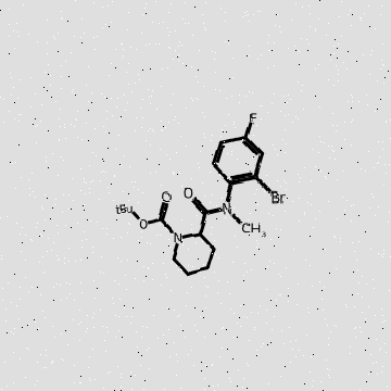 CN(C(=O)C1CCCCN1C(=O)OC(C)(C)C)c1ccc(F)cc1Br